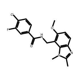 COc1ccc2nc(C)n(C)c2c1CNC(=O)c1ccc(Cl)c(F)c1